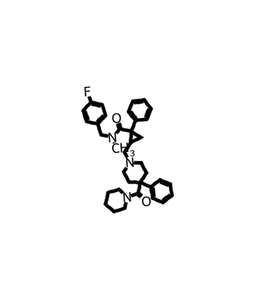 CN(Cc1ccc(F)cc1)C(=O)C1(c2ccccc2)CC1CN1CCC(C(=O)N2CCCCC2)(c2ccccc2)CC1